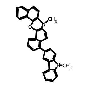 CN1c2ccc3ccccc3c2Oc2c1ccc1c(-c3ccc4c(c3)c3ccccc3n4C)cccc21